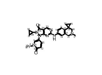 CC(C)n1cc(-n2c3nc(Nc4ccc5c(c4)CN(C)CC54CC4)ncc3c(=O)n2C2CC2)ccc1=O